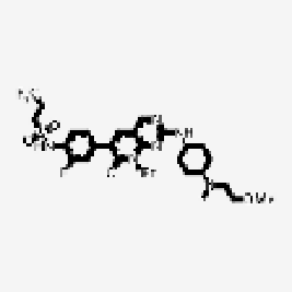 COCCN(C)[C@H]1CC[C@H](Nc2ncc3cc(-c4ccc(NS(=O)(=O)CCC(F)(F)F)c(F)c4)c(=O)n(C(C)C)c3n2)CC1